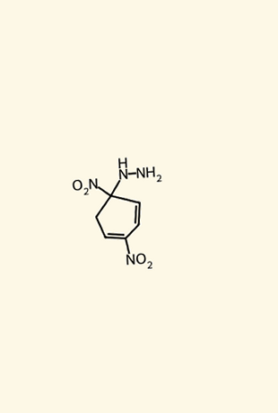 NNC1([N+](=O)[O-])C=CC([N+](=O)[O-])=CC1